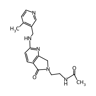 CC(=O)NCCN1Cc2nc(NCc3cnccc3C)ccc2C1=O